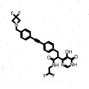 O=C(NCC(F)F)C(Cc1ccc(C#Cc2ccc(CN3CC(F)(F)C3)cc2)cc1)c1nc[nH]c(=O)c1O